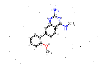 CNc1nc(N)nc2cc(-c3ccccc3OC)ccc12